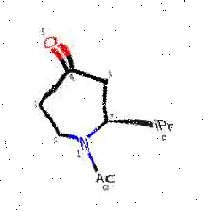 CC(=O)N1CCC(=O)C[C@H]1C(C)C